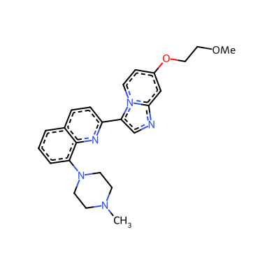 COCCOc1ccn2c(-c3ccc4cccc(N5CCN(C)CC5)c4n3)cnc2c1